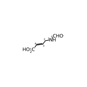 O=[C]NCC=CC(=O)O